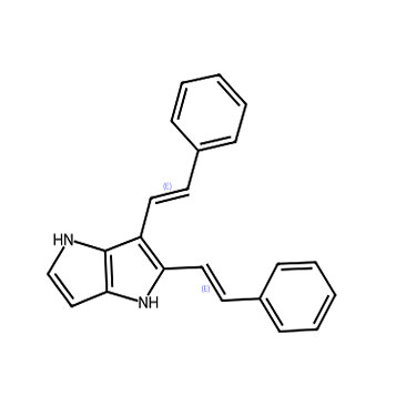 C(=C\c1[nH]c2cc[nH]c2c1/C=C/c1ccccc1)/c1ccccc1